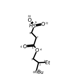 CCCCC(CC)COC(=O)CC[SH](=O)=O